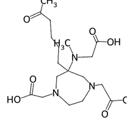 CC(=O)CCCCC1(N(C)CC(=O)O)CN(CC(=O)O)CCN(CC(=O)O)C1